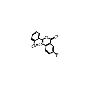 CC(=O)Oc1ccccc1-c1nc2ccc(F)cc2c(=O)o1